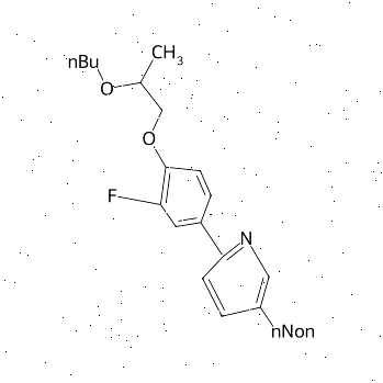 CCCCCCCCCc1ccc(-c2ccc(OCC(C)OCCCC)c(F)c2)nc1